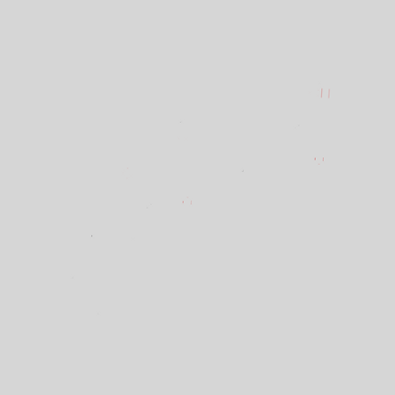 O=C(O)/C=C/C(=O)OC(=O)c1ccccc1